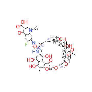 CO[C@H]1/C=C/O[C@@]2(C)Oc3c(C)c(O)c4c(O)c(c(CN5CCN(c6cc7c(cc6F)c(=O)c(C(=O)O)cn7C6CC6)CC5)c(O)c4c3C2=O)NC(=O)/C(C)=C\C=C\[C@H](C)[C@H](O)[C@@H](C)[C@@H](O)[C@@H](C)[C@H](OC(C)=O)[C@@H]1C